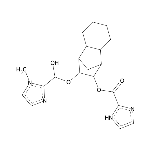 Cn1ccnc1C(O)OC1C2CC(C3CCCCC32)C1OC(=O)c1ncc[nH]1